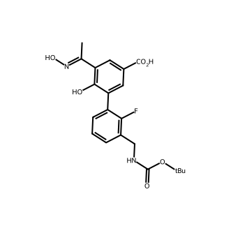 CC(=NO)c1cc(C(=O)O)cc(-c2cccc(CNC(=O)OC(C)(C)C)c2F)c1O